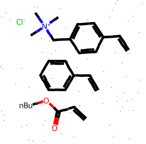 C=CC(=O)OCCCC.C=Cc1ccc(C[N+](C)(C)C)cc1.C=Cc1ccccc1.[Cl-]